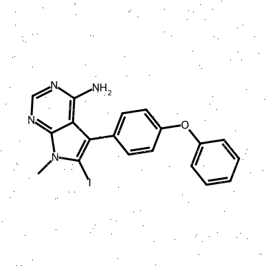 Cn1c(I)c(-c2ccc(Oc3ccccc3)cc2)c2c(N)ncnc21